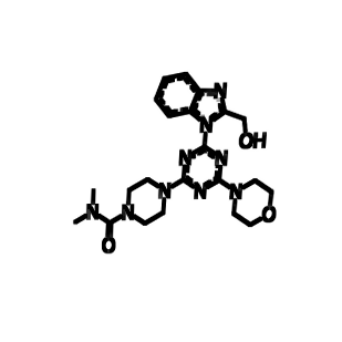 CN(C)C(=O)N1CCN(c2nc(N3CCOCC3)nc(-n3c(CO)nc4ccccc43)n2)CC1